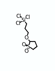 O=S1(=O)CCCC1OCCC[Si](Cl)(Cl)Cl